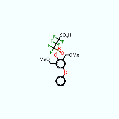 COCc1cc(Oc2ccccc2)cc(COC)c1OS(=O)(=O)C(F)(F)C(F)(F)C(F)(F)S(=O)(=O)O